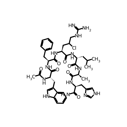 CC(=O)N[C@@H](Cc1c[nH]c2ccccc12)C(=O)N[C@@H](Cc1ccccc1)C(=O)N[C@@H](CC(Cl)CNC(=N)N)C(=O)N[C@H](CC(C)C)C(=O)N[C@@H](C)C(=O)N[C@@H](Cc1c[nH]cn1)C(N)=O